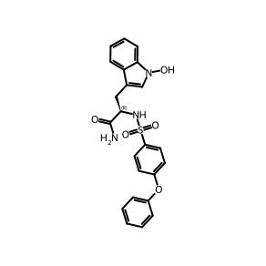 NC(=O)[C@@H](Cc1cn(O)c2ccccc12)NS(=O)(=O)c1ccc(Oc2ccccc2)cc1